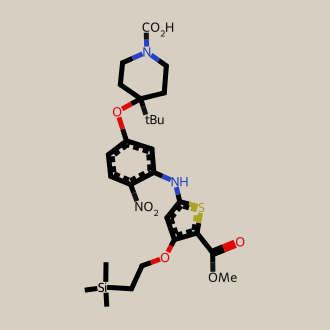 COC(=O)c1sc(Nc2cc(OC3(C(C)(C)C)CCN(C(=O)O)CC3)ccc2[N+](=O)[O-])cc1OCC[Si](C)(C)C